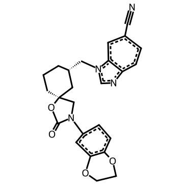 N#Cc1ccc2ncn(C[C@H]3CCC[C@]4(C3)CN(c3ccc5c(c3)OCCO5)C(=O)O4)c2c1